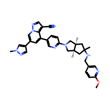 COc1ccc(CNC2(C)C[C@H]3CN(c4ccc(-c5cc(-c6cnn(C)c6)cn6ncc(C#N)c56)cn4)C[C@H]3C2)cn1